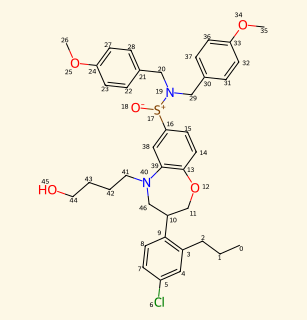 CCCc1cc(Cl)ccc1C1COc2ccc([S+]([O-])N(Cc3ccc(OC)cc3)Cc3ccc(OC)cc3)cc2N(CCCCO)C1